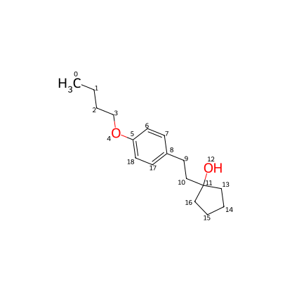 CCCCOc1ccc(CCC2(O)CCCC2)cc1